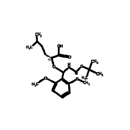 COc1cccc(OC)c1C(NC(=O)OC(C)(C)C)O[C@H](CCC(C)C)C(=O)O